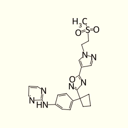 CS(=O)(=O)CCn1cc(-c2nc(C3(c4ccc(Nc5ncccn5)cc4)CCC3)no2)cn1